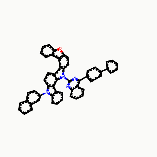 c1ccc(-c2ccc(-c3nc(-n4c5ccc6oc7ccccc7c6c5c5ccc6c(c7ccccc7n6-c6ccc7ccccc7c6)c54)nc4ccccc34)cc2)cc1